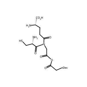 CCCCCCCCCCCC(=O)OC(=O)CN(C(=O)CC[C@H](N)C(=O)O)C(=O)[C@@H](N)CS